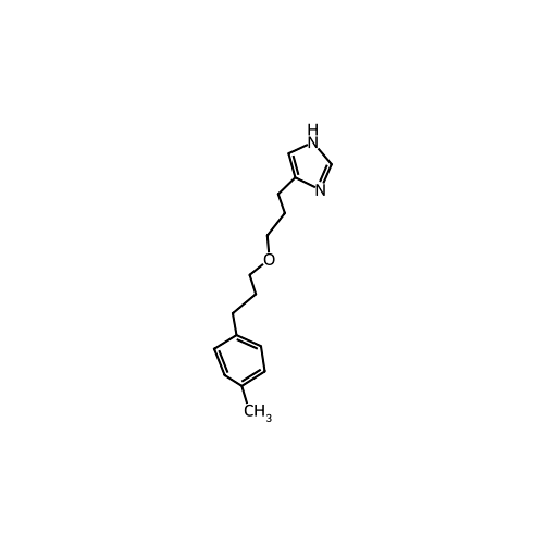 Cc1ccc(CCCOCCCc2c[nH]cn2)cc1